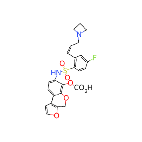 O=C(O)Oc1c(NS(=O)(=O)c2ccc(F)cc2/C=C\CN2CCC2)ccc2c1OCc1occc1-2